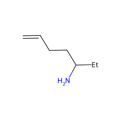 C=CCCC(N)CC